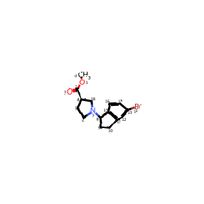 COC(=O)[C@@H]1CCN(C2CCc3cc(Br)ccc32)C1